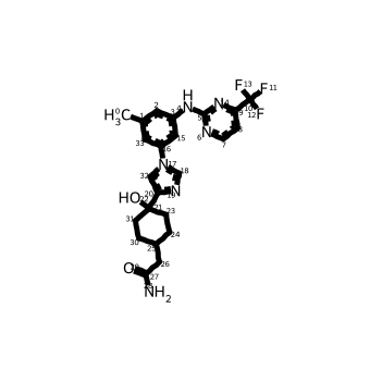 Cc1cc(Nc2nccc(C(F)(F)F)n2)cc(-n2cnc(C3(O)CCC(CC(N)=O)CC3)c2)c1